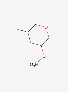 CC1COCC(O[N+](=O)[O-])C1C